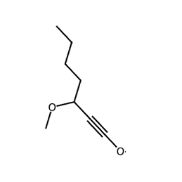 CCCCC(C#C[O])OC